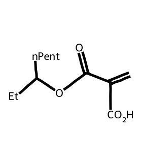 C=C(C(=O)O)C(=O)OC(CC)CCCCC